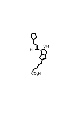 O=C(O)CCCCC1=CC2C[C@@H](O)[C@H](C(O)=CCC3CCCC3)C2C1